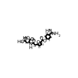 N=C(N)c1ccc(OC(=O)c2ccc(CC(=O)N[C@@H](CC(=O)O)C(=O)O)o2)cc1